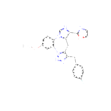 Fc1ccc(Cc2nnn3c2Cc2c(-c4ncco4)ncn2-c2ccc(OC(F)(F)F)cc2-3)cc1